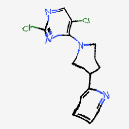 Clc1ncc(Cl)c(N2CCC(c3ccccn3)C2)n1